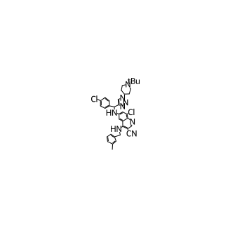 Cc1cccc(CNc2c(C#N)cnc3c(Cl)cc(NC(c4ccc(Cl)cc4)c4cn(C5CCN(C(C)(C)C)CC5)nn4)cc23)c1